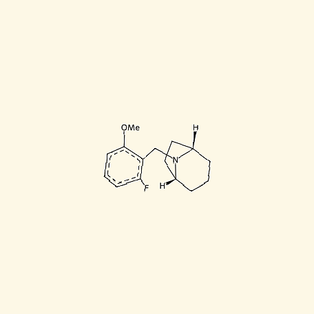 COc1cccc(F)c1CN1[C@@H]2CCC[C@H]1CC2